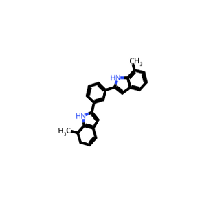 Cc1cccc2cc(-c3cccc(-c4cc5c([nH]4)C(C)CC=C5)c3)[nH]c12